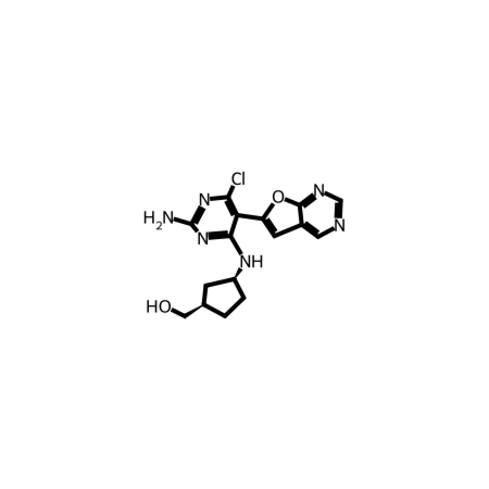 Nc1nc(Cl)c(-c2cc3cncnc3o2)c(N[C@H]2CC[C@@H](CO)C2)n1